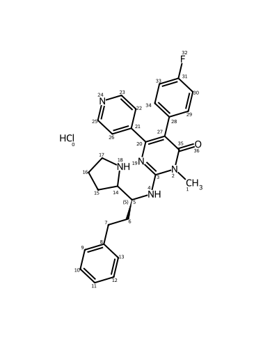 Cl.Cn1c(N[C@@H](CCc2ccccc2)C2CCCN2)nc(-c2ccncc2)c(-c2ccc(F)cc2)c1=O